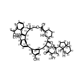 CCn1c(-c2cccnc2[C@H](C)OC)c2c3cc(ccc31)-c1cc(O)cc(c1)C[C@H](NC(=O)[C@H](C(C)C)N(C)C(=O)[C@H]1CC[C@@H]3CCCN[C@H]31)C(=O)N1CCC[C@H](N1)C(=O)OCC(C)(C)C2